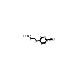 C#Cc1ccc(CCCC=O)cn1